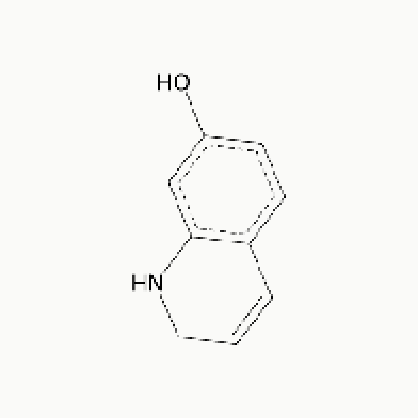 Oc1ccc2c(c1)NCC=C2